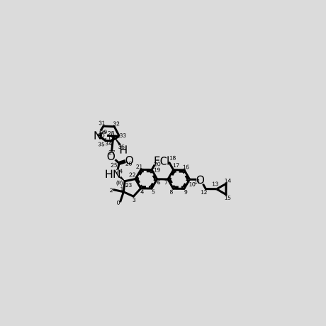 CC1(C)Cc2cc(-c3ccc(OCC4CC4)cc3Cl)c(F)cc2[C@@H]1NC(=O)O[C@@H]1CN2CCC1CC2